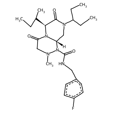 CCC(C)[C@H]1C(=O)N(C(CC)CC)C[C@H]2N1C(=O)CN(C)N2C(=O)NCc1ccc(F)cc1